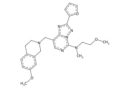 COCCN(C)c1ncc(CN2CCc3ccc(OC)cc3C2)c2nc(-c3ccco3)nn12